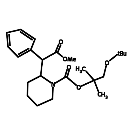 COC(=O)C(c1ccccc1)C1CCCCN1C(=O)OC(C)(C)COC(C)(C)C